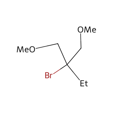 CCC(Br)(COC)COC